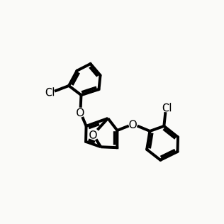 Clc1ccccc1Oc1cc2cc(Oc3ccccc3Cl)c1o2